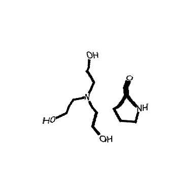 O=C1CCCN1.OCCN(CCO)CCO